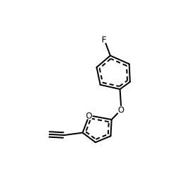 C#Cc1ccc(Oc2ccc(F)cc2)o1